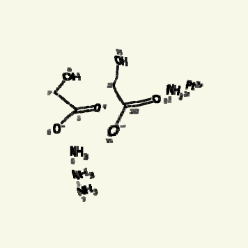 N.N.N.N.O=C([O-])CO.O=C([O-])CO.[Pt+2]